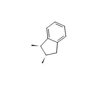 Br[C@@H]1Cc2ccccc2[C@@H]1Br